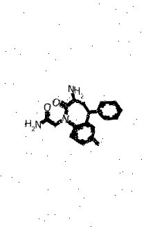 Cc1ccc2c(c1)C(c1ccccc1)CC(N)C(=O)N2CC(N)=O